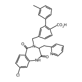 Cc1cccc(-c2cc(CN3C(=O)c4ccc(Cl)cc4NC(=O)C3Cc3ccccn3)ccc2C(=O)O)c1